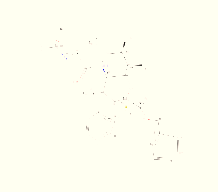 CC(=O)OC[C@@H](OC(C)=O)[C@@H](OC(C)=O)C1O[C@](Sc2ccccc2)(C(=O)OCc2ccccc2)CC(OC(C)=O)[C@H]1NC(=O)CNC(=O)C(F)(F)F